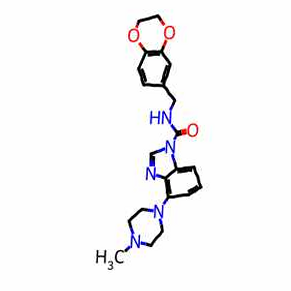 CN1CCN(c2cccc3c2ncn3C(=O)NCc2ccc3c(c2)OCCO3)CC1